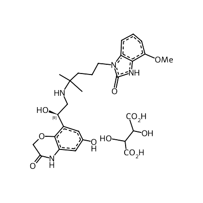 COc1cccc2c1[nH]c(=O)n2CCCC(C)(C)NC[C@H](O)c1cc(O)cc2c1OCC(=O)N2.O=C(O)C(O)C(O)C(=O)O